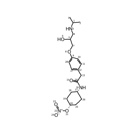 CC(C)NCC(O)COc1ccc(CC(=O)N[C@H]2CC[C@@H](O[N+](=O)[O-])CC2)cc1